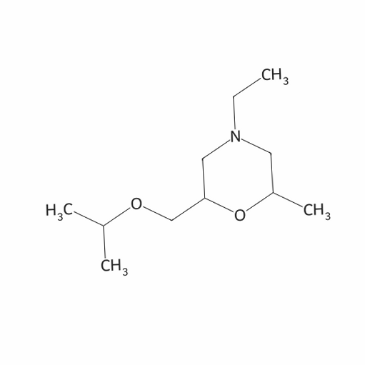 CCN1CC(C)OC(COC(C)C)C1